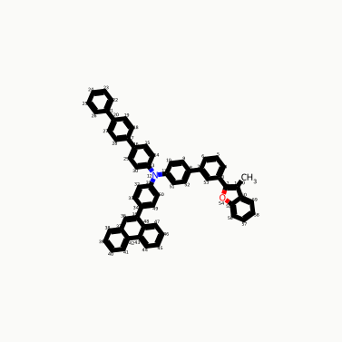 Cc1c(-c2cccc(-c3ccc(N(c4ccc(-c5ccc(-c6ccccc6)cc5)cc4)c4ccc(-c5cc6ccccc6c6ccccc56)cc4)cc3)c2)oc2ccccc12